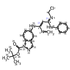 C=N/C(=C\C(=N/CCl)Nc1ccccc1)Nc1ccc2c(cnn2C(=O)OC(C)(C)C)c1